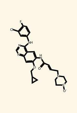 O=C(/C=C/CN1CC[S+]([O-])CC1)Nc1cc2c(Nc3ccc(F)c(Cl)c3)ncnc2cc1OCC1CC1